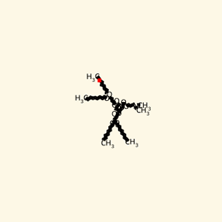 CCCCCCCCCOC(CCC(=O)OC1C[C@H](OC(=O)CCC(OCCCCCCCCC)OCCCCCCCCC)CN(C(=O)OCCCN(CC)CC)C1)OCCCCCCCCC